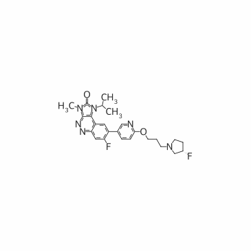 CC(C)n1c(=O)n(C)c2nnc3cc(F)c(-c4ccc(OCCCN5CC[C@H](F)C5)nc4)cc3c21